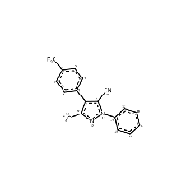 N#Cc1c(-c2ccc(C(F)(F)F)cc2)c(C(F)(F)F)nn1-c1ccccc1